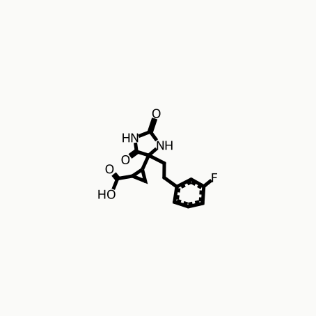 O=C1NC(=O)C(CCc2cccc(F)c2)(C2CC2C(=O)O)N1